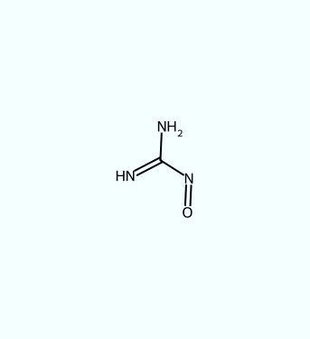 N=C(N)N=O